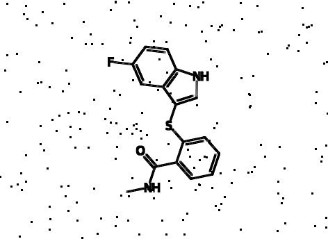 CNC(=O)c1ccccc1Sc1c[nH]c2ccc(F)cc12